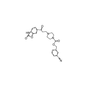 N#Cc1cccc(COC(=O)N2CCN(CCC(=O)c3ccc4[nH]c(=O)oc4c3)CC2)c1